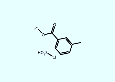 Cc1cccc(C(=O)OC(C)C)c1.O=S(=O)(O)Cl